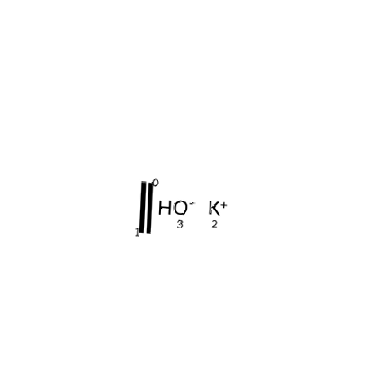 C=C.[K+].[OH-]